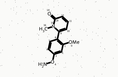 COc1cc(ON)ccc1-c1cccc(=O)n1C